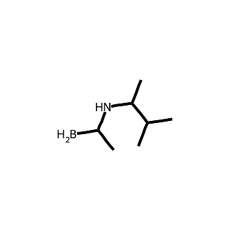 BC(C)NC(C)C(C)C